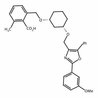 COc1cccc(-c2nc(CO[C@H]3CCC[C@@H](OCc4cccc(C)c4C(=O)O)C3)c(C(C)C)o2)c1